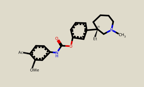 CC[C@@]1(c2cccc(OC(=O)Nc3ccc(C(C)=O)c(OC)c3)c2)CCCCN(C)C1